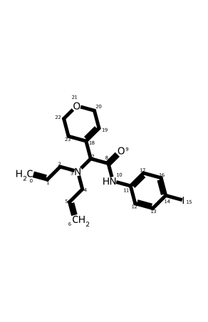 C=CCN(CC=C)C(C(=O)Nc1ccc(I)cc1)C1=CCOCC1